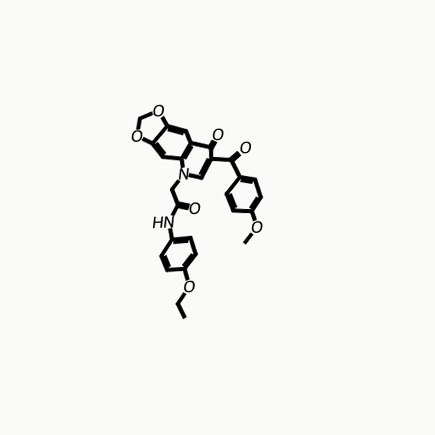 CCOc1ccc(NC(=O)Cn2cc(C(=O)c3ccc(OC)cc3)c(=O)c3cc4c(cc32)OCO4)cc1